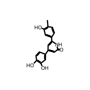 Cc1ccc(-c2cc(-c3ccc(O)c(O)c3)cc(=O)[nH]2)cc1O